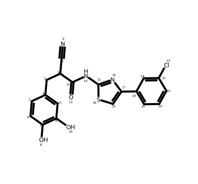 N#CC(Cc1ccc(O)c(O)c1)C(=O)Nc1nc(-c2cccc(Cl)c2)cs1